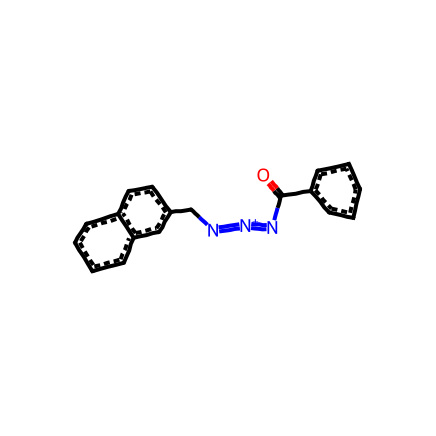 O=C(N=[N+]=NCc1ccc2ccccc2c1)c1ccccc1